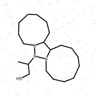 CC(CS)N1N2CCCCCCCCC2C2CCCCCCCN21